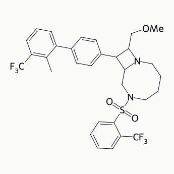 COCC1C(c2ccc(-c3cccc(C(F)(F)F)c3C)cc2)C2CN(S(=O)(=O)c3ccccc3C(F)(F)F)CCCCN12